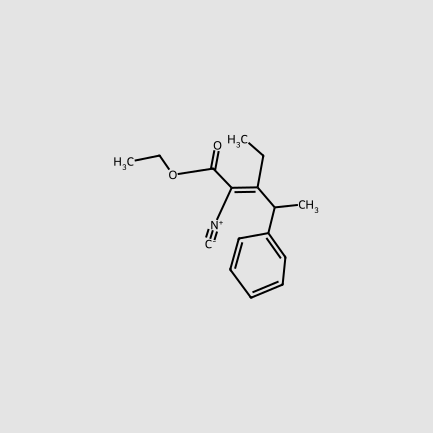 [C-]#[N+]C(C(=O)OCC)=C(CC)C(C)c1ccccc1